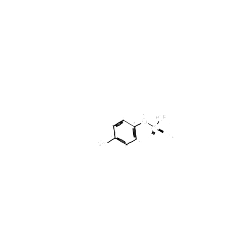 CC(C)c1ccc(OS(=O)(=O)C(F)(F)F)cc1